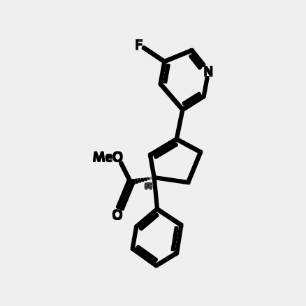 COC(=O)[C@]1(c2ccccc2)C=C(c2cncc(F)c2)CC1